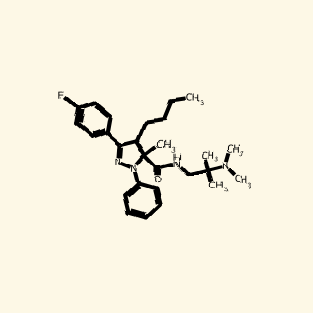 CCCCC1C(c2ccc(F)cc2)=NN(c2ccccc2)C1(C)C(=O)NCC(C)(C)N(C)C